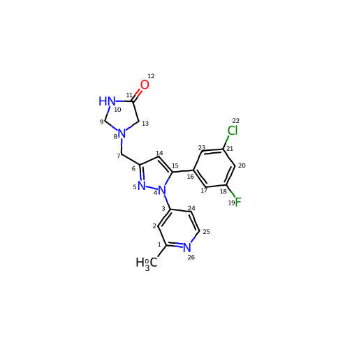 Cc1cc(-n2nc(CN3CNC(=O)C3)cc2-c2cc(F)cc(Cl)c2)ccn1